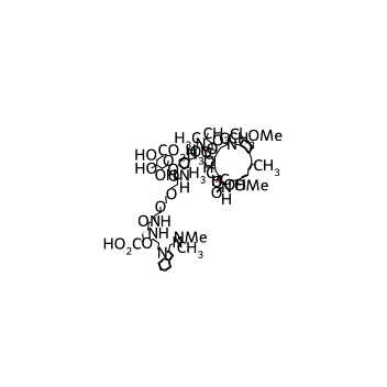 CNN(C)Cc1cc2ccccc2n1CCC(=O)N[C@H](CCC(=O)O)C(=O)NCCOCCOCCC(=O)Nc1cc(COC(=O)N(C)[C@@H](C)C(=O)O[C@H]2CC(=O)N(C)c3cc(cc(OC)c3Cl)C/C(C)=C/C=C/[C@@H](OC)[C@@]3(O)C[C@H](OC(=O)N3)[C@@H](C)[C@@H]3O[C@@]23C)ccc1OC1O[C@H](C(=O)O)[C@@H](O)[C@H](O)[C@H]1O